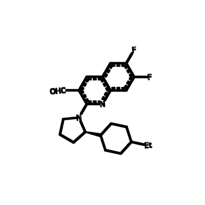 CCC1CCC([C@H]2CCCN2c2nc3cc(F)c(F)cc3cc2C=O)CC1